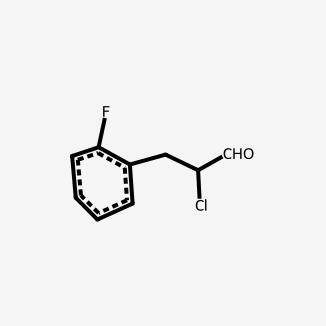 O=CC(Cl)Cc1ccccc1F